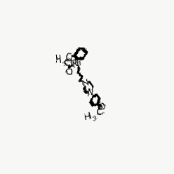 COc1ccc(N2CCN(CCCCN(C(C)=O)c3ccccc3C)CC2)cc1